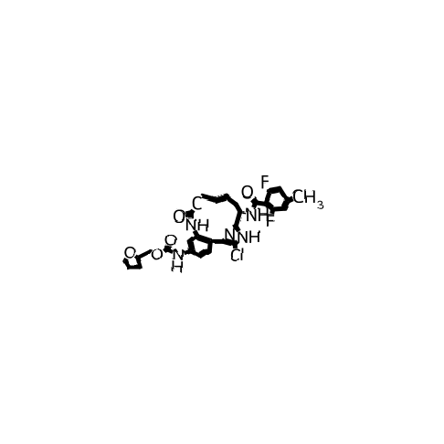 Cc1cc(F)c(C(=O)N[C@H]2C/C=C/CCC(=O)Nc3cc(NC(=O)OCC4CCCO4)ccc3-c3nc2[nH]c3Cl)c(F)c1